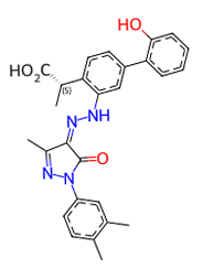 CC1=NN(c2ccc(C)c(C)c2)C(=O)C1=NNc1cc(-c2ccccc2O)ccc1[C@H](C)C(=O)O